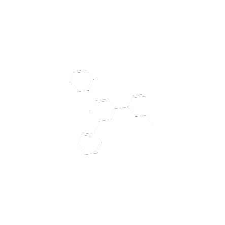 C=C/C=C(\C=C)C1=CC(c2ccccc2)NC(c2ccccc2)=C1